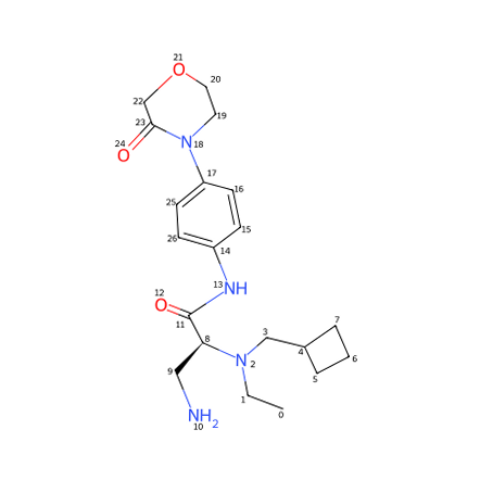 CCN(CC1CCC1)[C@@H](CN)C(=O)Nc1ccc(N2CCOCC2=O)cc1